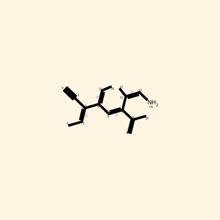 C#CC(=C\C)/C(/C=C(C(=C)C)\C(C)=C/N)=C/C